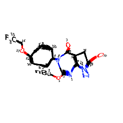 CCCCOc1nc2c(c(=O)n1-c1ccc(OCC(F)(F)F)cc1)CC(=O)N2